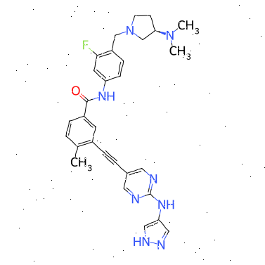 Cc1ccc(C(=O)Nc2ccc(CN3CC[C@@H](N(C)C)C3)c(F)c2)cc1C#Cc1cnc(Nc2cn[nH]c2)nc1